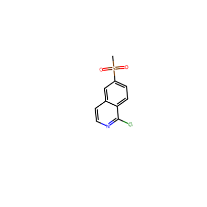 CS(=O)(=O)c1ccc2c(Cl)nccc2c1